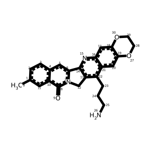 Cc1ccc2cc3n(c(=O)c2c1)Cc1c-3nc2cc3c(cc2c1CCCN)OCCO3